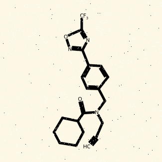 C#CCN(Cc1ccc(-c2noc(C(F)(F)F)n2)cc1)C(=O)C1CCCCC1